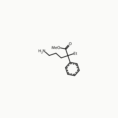 CCC(CCCN)(C(=O)OC)c1ccccc1